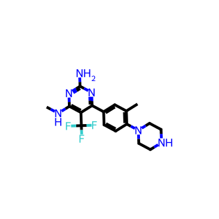 CNc1nc(N)nc(-c2ccc(N3CCNCC3)c(C)c2)c1C(F)(F)F